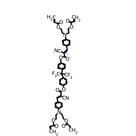 C=CC(=O)OCCN(CCOC(=O)C=C)c1ccc(/C=C(\C#N)C(=O)Oc2ccc(C(c3ccc(OC(=O)/C(C#N)=C/c4ccc(N(CCOC(=O)C=C)CCOC(=O)C=C)cc4)cc3)(C(F)(F)F)C(F)(F)F)cc2)cc1